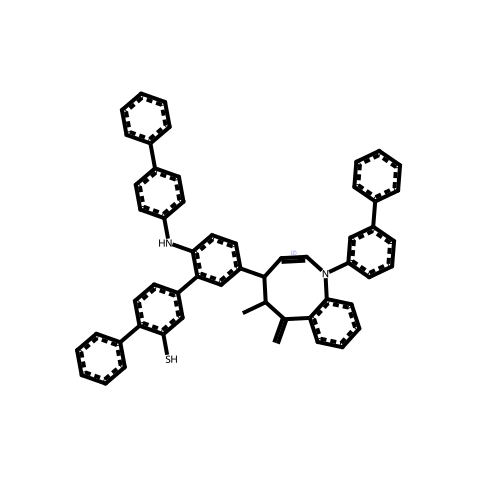 C=C1c2ccccc2N(c2cccc(-c3ccccc3)c2)/C=C\C(c2ccc(Nc3ccc(-c4ccccc4)cc3)c(-c3ccc(-c4ccccc4)c(S)c3)c2)C1C